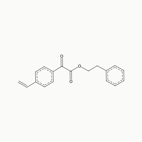 C=Cc1ccc(C(=O)C(=O)OCCc2ccccc2)cc1